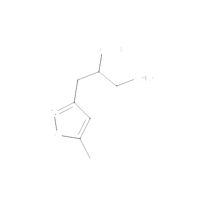 Cc1cc(CC(CC=O)C(=O)O)no1